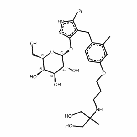 Cc1cc(OCCCNC(C)(CO)CO)ccc1Cc1c(O[C@@H]2O[C@H](CO)[C@H](O)[C@H](O)[C@H]2O)n[nH]c1C(C)C